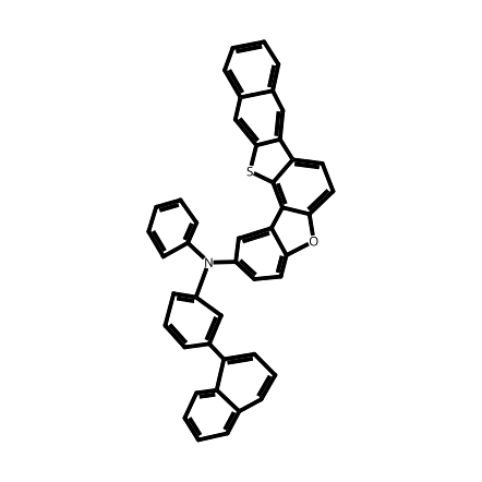 c1ccc(N(c2cccc(-c3cccc4ccccc34)c2)c2ccc3oc4ccc5c6cc7ccccc7cc6sc5c4c3c2)cc1